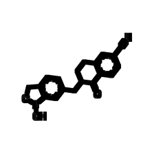 N#Cc1ccc2c(c1)CCC(Cc1ccc3c(c1)B(O)OC3)C2=O